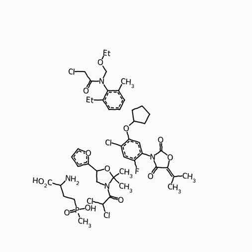 CC(C)=C1OC(=O)N(c2cc(OC3CCCC3)c(Cl)cc2F)C1=O.CC1(C)OC(c2ccco2)CN1C(=O)C(Cl)Cl.CCOCN(C(=O)CCl)c1c(C)cccc1CC.CP(=O)(O)CCC(N)C(=O)O